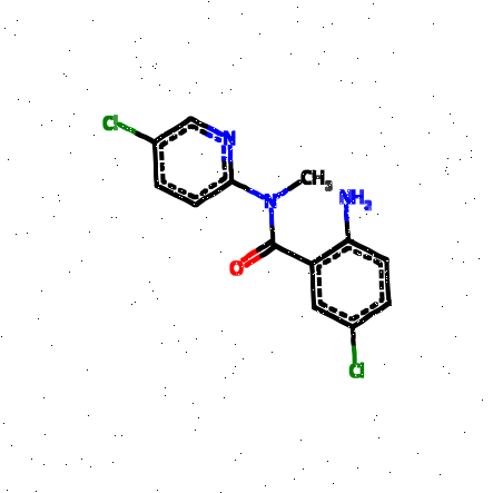 CN(C(=O)c1cc(Cl)ccc1N)c1ccc(Cl)cn1